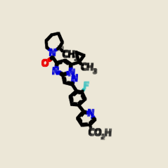 C[C@@H]1CCCCCN1C(=O)c1cc(C2(C)CC2)n2nc(-c3ccc(-c4ccc(C(=O)O)cn4)cc3F)cc2n1